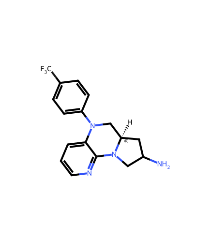 NC1C[C@@H]2CN(c3ccc(C(F)(F)F)cc3)c3cccnc3N2C1